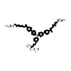 [C-]#[N+]/C(=C\C=C\c1ccc(N(c2ccc(-c3ccc(C(C)CCCCCCCCCCCCCCCC)cc3)cc2)c2ccc(-c3ccc(C(C)CCCCCCCCCCCCCCCC)cc3)cc2)cc1)C(=O)O